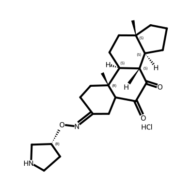 C[C@@]12CCC[C@H]1[C@@H]1C(=O)C(=O)C3CC(=NO[C@@H]4CCNC4)CC[C@]3(C)[C@H]1CC2.Cl